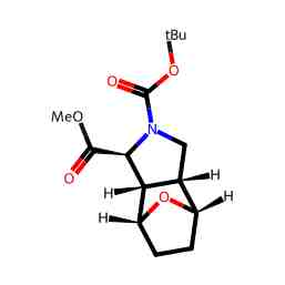 COC(=O)[C@@H]1[C@@H]2[C@H](CN1C(=O)OC(C)(C)C)[C@@H]1CC[C@H]2O1